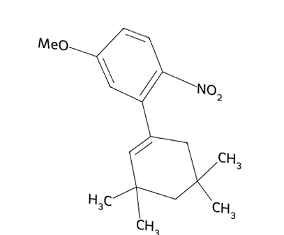 COc1ccc([N+](=O)[O-])c(C2=CC(C)(C)CC(C)(C)C2)c1